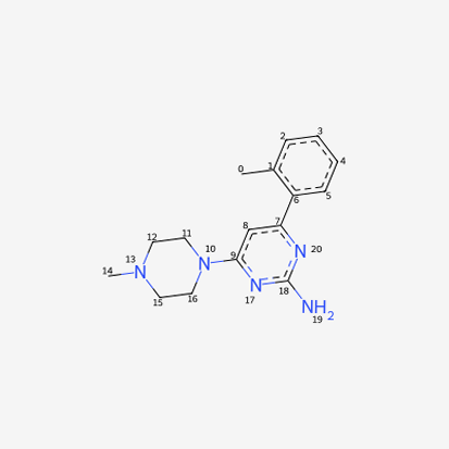 Cc1ccccc1-c1cc(N2CCN(C)CC2)nc(N)n1